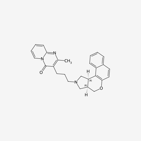 Cc1nc2ccccn2c(=O)c1CCCN1C[C@@H]2COc3ccc4ccccc4c3[C@@H]2C1